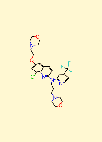 FC(F)(F)c1ccnc(N(CCCN2CCOCC2)c2ccc3cc(OCCN4CCOCC4)cc(Cl)c3n2)c1